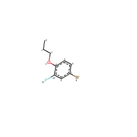 CCCOc1ccc(Br)cc1F